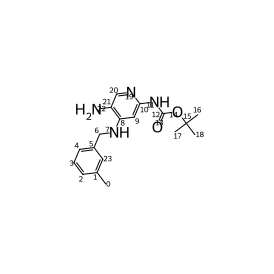 Cc1cccc(CNc2cc(NC(=O)OC(C)(C)C)ncc2N)c1